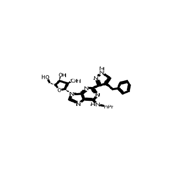 CCCNc1nc(-c2n[nH]cc2Cc2ccccc2)nc2c1ncn2[C@@H]1O[C@H](CO)[C@@H](O)[C@H]1O